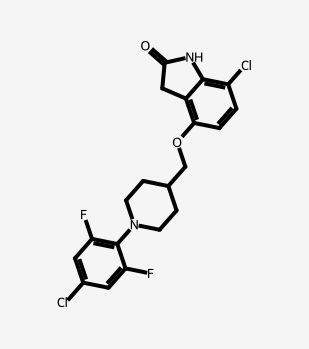 O=C1Cc2c(OCC3CCN(c4c(F)cc(Cl)cc4F)CC3)ccc(Cl)c2N1